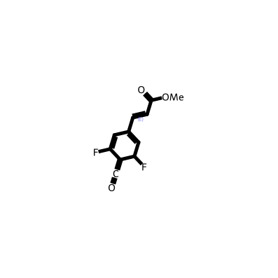 COC(=O)/C=C/C1=CC(F)C(=C=O)C(F)=C1